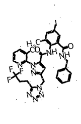 Cc1cc(I)cc(C(=O)NCc2ccccc2)c1NC(=O)c1cc(Cn2nnnc2CCC(F)(F)F)nn1-c1ncccc1Cl